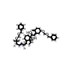 C=C1CC[C@H](OCOCc2ccccc2)C/C1=C/C(O)C1(O)CCC[C@]2(C)[C@@H]([C@H](C)/C=C/[C@H](C)C(C)(C)OCOCc3ccccc3)CC[C@@H]12